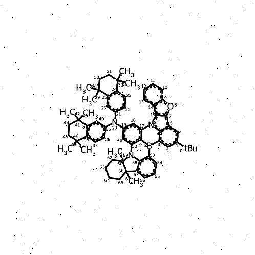 CC(C)(C)c1cc2c3c(c1)c1oc4ccccc4c1n3-c1cc(N(c3ccc4c(c3)C(C)(C)CCC4(C)C)c3ccc4c(c3)C(C)(C)CCC4(C)C)cc3c1B2c1cccc2c1N3C1(C)CCCCC21C